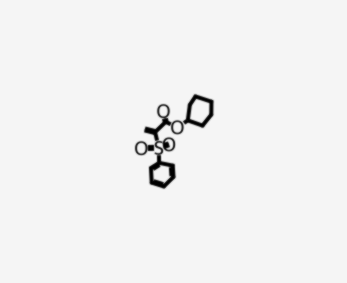 C=C(C(=O)OC1CCCCC1)S(=O)(=O)c1ccccc1